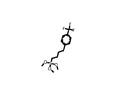 CO[Si](CCCCc1ccc(C(F)(F)F)cc1)(OC)OC